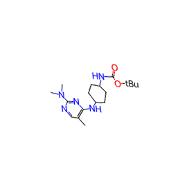 Cc1cnc(N(C)C)nc1NC1CCC(NC(=O)OC(C)(C)C)CC1